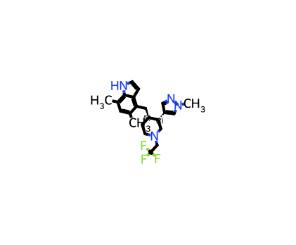 Cc1cc(C)c2[nH]ccc2c1C[C@@H]1CCN(CC(F)(F)F)C[C@H]1c1cnn(C)c1